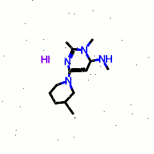 CNC1C=C(N2CCCC(C)C2)N=C(C)N1C.I